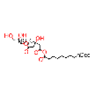 CCCCCCCCCCCCCCCCCC(=O)OC(=O)CC(O)(CC(=O)OCC(O)CO)C(=O)O